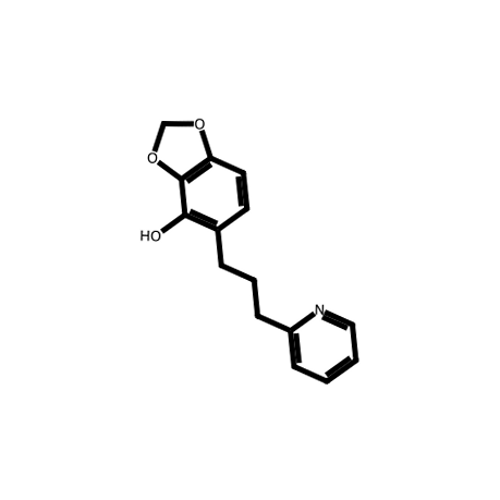 Oc1c(CCCc2ccccn2)ccc2c1OCO2